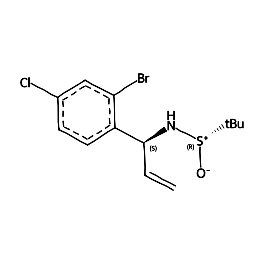 C=C[C@H](N[S@@+]([O-])C(C)(C)C)c1ccc(Cl)cc1Br